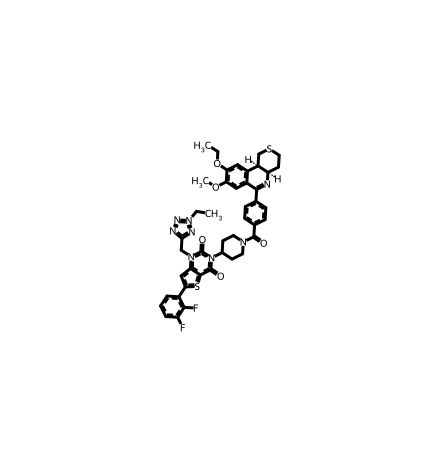 CCOc1cc2c(cc1OC)C(c1ccc(C(=O)N3CCC(n4c(=O)c5sc(-c6cccc(F)c6F)cc5n(Cc5nnn(CC)n5)c4=O)CC3)cc1)=N[C@@H]1CCSC[C@H]21